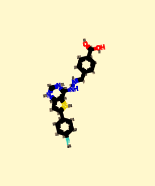 O=C(O)c1ccc(C=NNc2ncnc3cc(-c4ccc(F)cc4)sc23)cc1